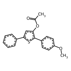 COc1ccc(-c2sc(-c3ccccc3)cc2OC(C)=O)cc1